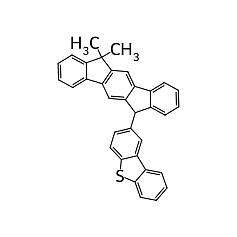 CC1(C)c2ccccc2-c2cc3c(cc21)-c1ccccc1C3c1ccc2sc3ccccc3c2c1